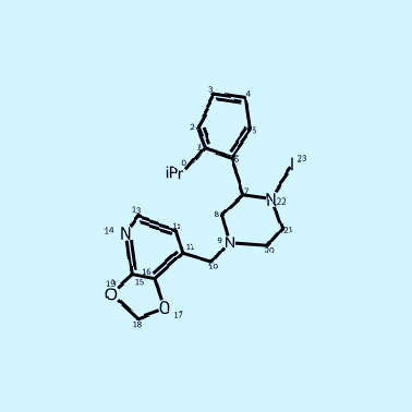 CC(C)c1ccccc1C1CN(Cc2ccnc3c2OCO3)CCN1I